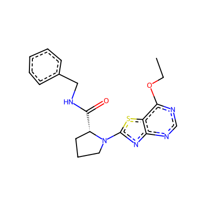 CCOc1ncnc2nc(N3CCC[C@@H]3C(=O)NCc3ccccc3)sc12